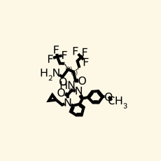 COc1ccc(C2=N[C@H](NC(=O)[C@@H](CCC(F)(F)F)[C@@H](CCC(F)(F)F)C(N)=O)C(=O)N(CC3CC3)c3ccccc32)cc1